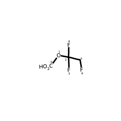 O=C(O)OC(F)(F)CF